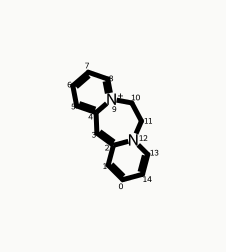 C1=CC2=Cc3cccc[n+]3CCN2C=C1